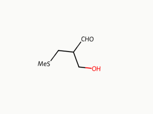 CSCC(C=O)CO